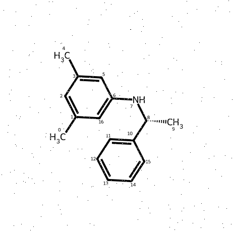 Cc1cc(C)cc(N[C@H](C)c2ccccc2)c1